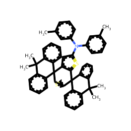 Cc1cccc(N(c2cccc(C)c2)c2cc3c(s2)C2(c4ccccc4C(C)(C)c4ccccc42)c2ccsc2C32c3ccccc3C(C)(C)c3ccccc32)c1